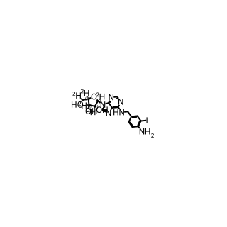 [2H]C(O)[C@@]1([2H])O[C@@]([2H])(n2cnc3c(NCc4ccc(N)c(I)c4)ncnc32)[C@]([2H])(O)[C@]1([2H])O